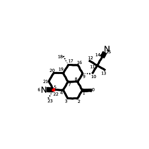 C=C1CC[C@]2(C#N)C3C1[C@@H](CC(C)(C)C#N)C[C@@H](C)C3CC[C@H]2C